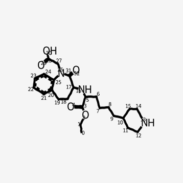 CCOC(=O)C(CCCCC1CCNCC1)NC1CCc2ccccc2N(CC(=O)O)C1=O